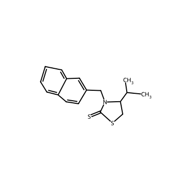 CC(C)C1CSC(=S)N1Cc1ccc2ccccc2c1